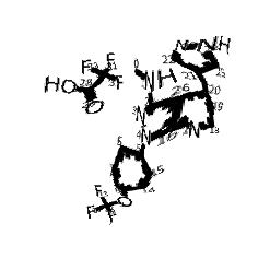 CNc1nn(-c2ccc(OC(F)(F)F)cc2)c2nccc(-c3cn[nH]c3)c12.O=C(O)C(F)(F)F